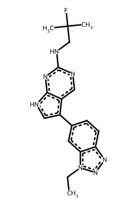 CCn1nnc2ccc(-c3c[nH]c4nc(NCC(C)(C)F)ncc34)cc21